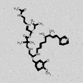 COc1ccc(C[C@H](CNCC(C)(C)C(=O)O[C@H](C=[SH]CCNC(C)=O)CC(C)C)NC/C=C/C[C@H](O)[C@H](C)/C=C/c2cccnc2)cc1Cl